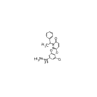 CC(c1ccccc1)n1nc(Oc2c(Cl)cc(NN)cc2Cl)ccc1=O